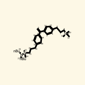 C=C(c1ccc(CCC[Si](C)(C)C)cc1)c1ccc(CCC[Si](C)(C)N(CCCC)CCCC)cc1